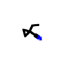 CCC1(C#N)CC1